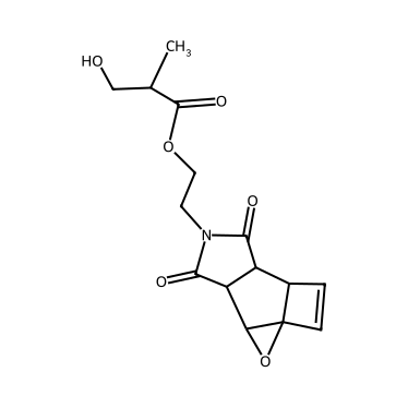 CC(CO)C(=O)OCCN1C(=O)C2C(C1=O)C1OC13C=CC23